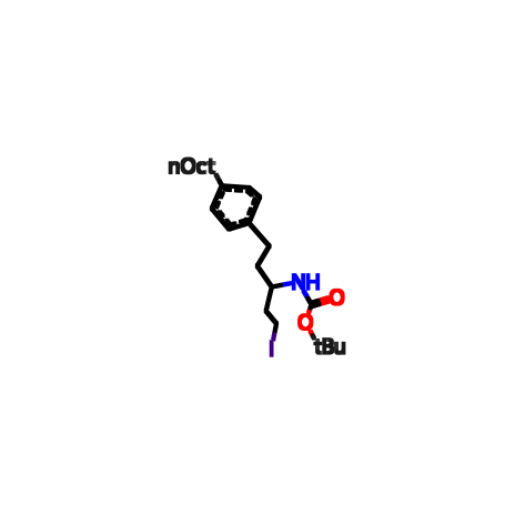 CCCCCCCCc1ccc(CCC(CCI)NC(=O)OC(C)(C)C)cc1